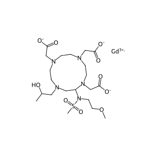 COCCN(C1CN(CC(C)O)CCN(CC(=O)[O-])CCN(CC(=O)[O-])CCN1CC(=O)[O-])S(C)(=O)=O.[Gd+3]